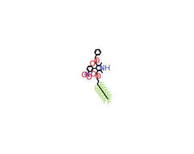 CC1=C(C(=O)OCCCC(F)(F)C(F)(F)C(F)(F)C(F)(F)C(F)(F)C(F)(F)F)C(c2cccc([N+](=O)[O-])c2)C(C(=O)OCc2ccccc2)=C(C)N1